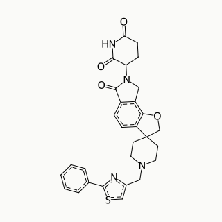 O=C1CCC(N2Cc3c(ccc4c3OCC43CCN(Cc4csc(-c5ccccc5)n4)CC3)C2=O)C(=O)N1